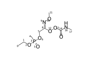 CCOP(C)(=O)OCC(=NOC)OOC(=O)NC